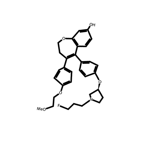 COCCOc1ccc(C2=C(c3ccc(O[C@H]4CCN(CCCF)C4)cc3)c3ccc(O)cc3OCC2)cc1